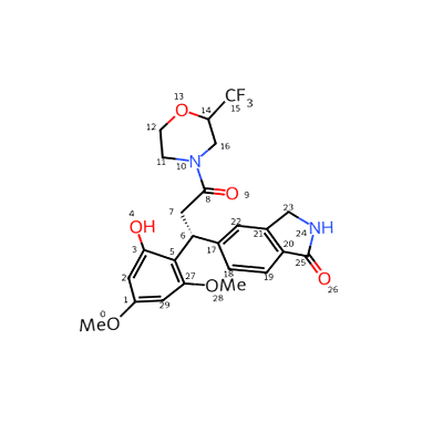 COc1cc(O)c([C@H](CC(=O)N2CCOC(C(F)(F)F)C2)c2ccc3c(c2)CNC3=O)c(OC)c1